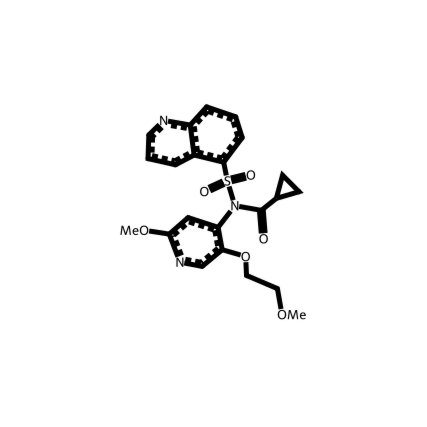 COCCOc1cnc(OC)cc1N(C(=O)C1CC1)S(=O)(=O)c1cccc2ncccc12